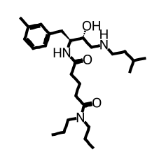 CCCN(CCC)C(=O)CCCC(=O)N[C@@H](Cc1cccc(C)c1)[C@H](O)CNCCC(C)C